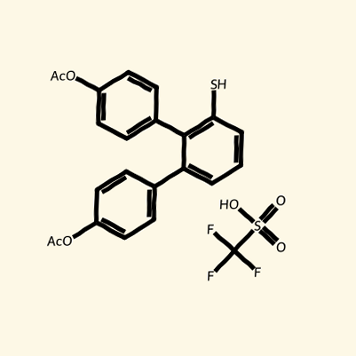 CC(=O)Oc1ccc(-c2cccc(S)c2-c2ccc(OC(C)=O)cc2)cc1.O=S(=O)(O)C(F)(F)F